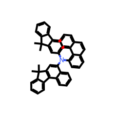 CC1(C)c2ccccc2-c2ccc(N(c3cc4c(c5ccccc35)-c3ccccc3C4(C)C)c3cccc4ccc5ccccc5c34)cc21